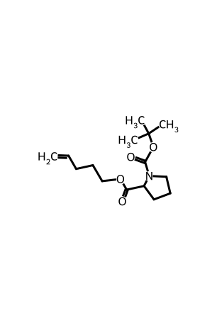 C=CCCCOC(=O)C1CCCN1C(=O)OC(C)(C)C